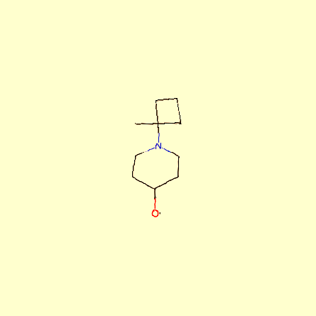 CC1(N2CCC([O])CC2)CCC1